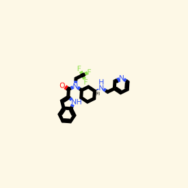 O=C(c1cc2ccccc2[nH]1)N(CC(F)(F)F)C1CCC[C@@H](NCc2cccnc2)C1